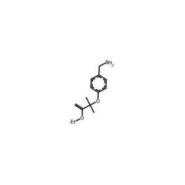 BCc1ccc(OC(C)(C)C(=C)OCC)cc1